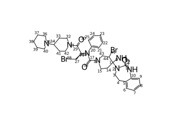 NC1(N2CCc3ccccc3NC2=O)CCN(C(=O)N(c2ccccc2)[C@@H](CBr)C(=O)N2CCC(N3CCCCC3)CC2)CC1Br